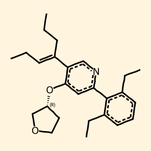 CCC=C(CCC)c1cnc(-c2c(CC)cccc2CC)cc1O[C@@H]1CCOC1